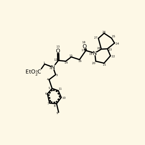 CCOC(=O)CN(CCc1ccc(C)cc1)C(=O)CCCC(=O)N1CCCC2CCCCC21